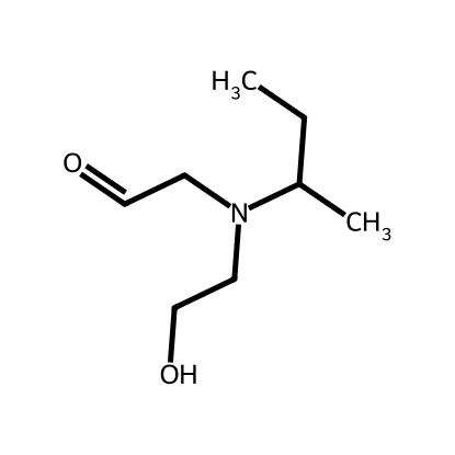 CCC(C)N(CC=O)CCO